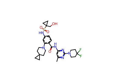 Cc1cc(NC(=O)c2ccc(NS(=O)(=O)C3(CO)CC3)cc2N2CCC3(CC2)CC3)nc(N2CCC(F)(F)CC2)n1